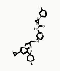 CN1CCC(F)(c2cc(C3CC3)cn3cc(CNc4ccnc(NC(=O)[C@H]5C[C@@H]5c5cccc(Cl)c5)c4)nc23)CC1